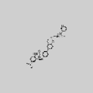 N#Cc1cc([N+](=O)[O-])ccc1NS(=O)(=O)c1cccc(-c2ccc3c(c2)CC[C@H](CNC[C@H](O)c2cccnc2)O3)c1